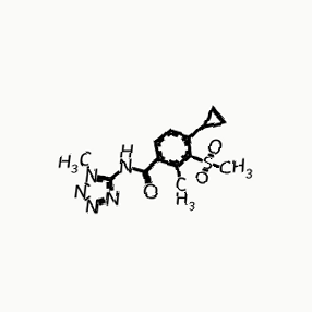 Cc1c(C(=O)Nc2nnnn2C)ccc(C2CC2)c1S(C)(=O)=O